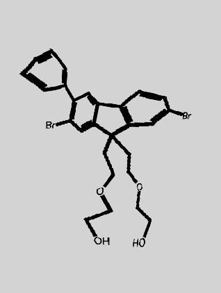 OCCOCCC1(CCOCCO)c2cc(Br)ccc2-c2cc(-c3ccccc3)c(Br)cc21